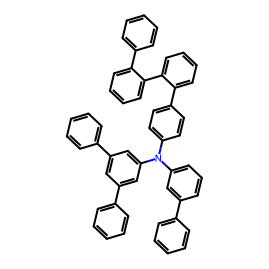 c1ccc(-c2cccc(N(c3ccc(-c4ccccc4-c4ccccc4-c4ccccc4)cc3)c3cc(-c4ccccc4)cc(-c4ccccc4)c3)c2)cc1